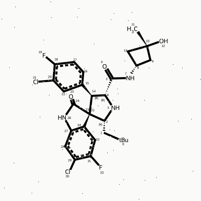 CC(C)(C)C[C@H]1N[C@@H](C(=O)N[C@H]2C[C@@](C)(O)C2)[C@H](c2ccc(F)c(Cl)c2)[C@@]12C(=O)Nc1cc(Cl)c(F)cc12